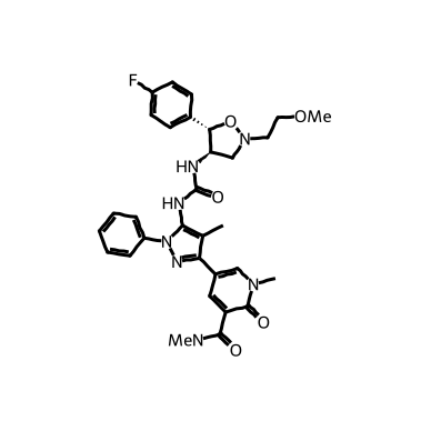 CNC(=O)c1cc(-c2nn(-c3ccccc3)c(NC(=O)N[C@@H]3CN(CCOC)O[C@H]3c3ccc(F)cc3)c2C)cn(C)c1=O